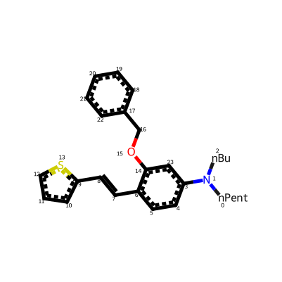 CCCCCN(CCCC)c1ccc(C=Cc2cccs2)c(OCc2ccccc2)c1